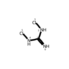 N=C(NCl)NCl